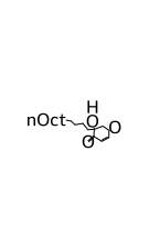 CCCCCCCCCCCCC1(O)CC(=O)C=CC1=O